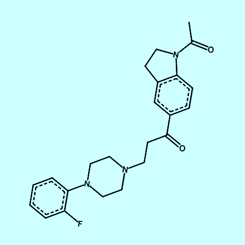 CC(=O)N1CCc2cc(C(=O)CCN3CCN(c4ccccc4F)CC3)ccc21